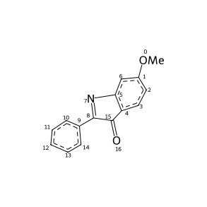 COc1ccc2c(c1)N=C(c1ccccc1)C2=O